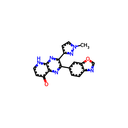 Cn1ccc(-c2nc3[nH]ccc(=O)c3nc2-c2ccc3ncoc3c2)n1